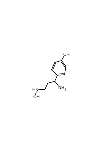 NC(CCNO)c1ccc(O)cc1